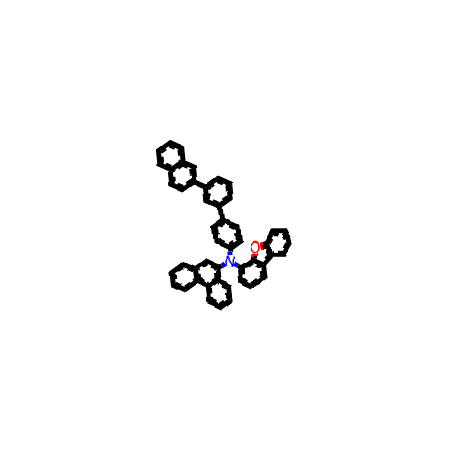 c1cc(-c2ccc(N(c3cc4ccccc4c4ccccc34)c3cccc4c3oc3ccccc34)cc2)cc(-c2ccc3ccccc3c2)c1